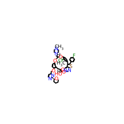 Cc1c2ccc(c1Cl)O[C@H](CN1CCN(C)CC1)COc1ccc(OCc3ccnc([C@@H]4CCCCO4)n3)c(c1)C[C@H](C(=O)O)Oc1ncnc3sc(-c4ccc(F)cc4)c-2c13